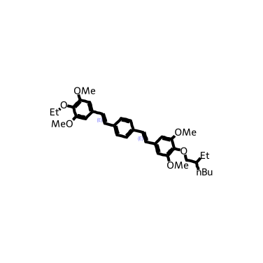 CCCCC(CC)COc1c(OC)cc(/C=C/c2ccc(/C=C/c3cc(OC)c(OCC)c(OC)c3)cc2)cc1OC